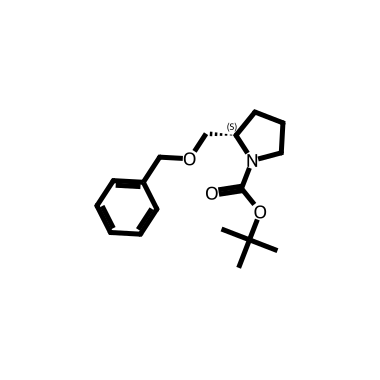 CC(C)(C)OC(=O)N1CCC[C@H]1COCc1ccccc1